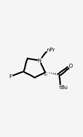 CCCN1CC(F)C[C@H]1C(=O)C(C)(C)C